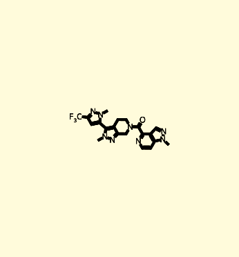 Cn1nc(C(F)(F)F)cc1-c1c2c(nn1C)CN(C(=O)c1nccc3c1cnn3C)CC2